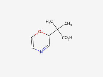 CC(C)(C(=O)O)C1C=NC=CO1